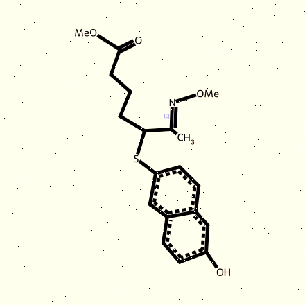 CO/N=C(\C)C(CCCC(=O)OC)Sc1ccc2cc(O)ccc2c1